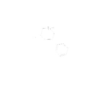 O[C@@H]1CNC[C@H](c2ccccc2)C1